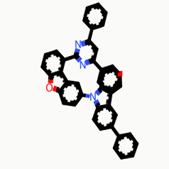 c1ccc(-c2ccc3c(c2)c2ccccc2n3-c2ccc3oc4cccc(-c5nc(-c6ccccc6)cc(-c6ccccc6)n5)c4c3c2)cc1